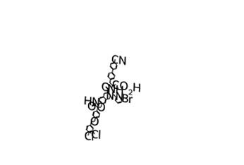 N#Cc1ccc(-c2ccc(C[C@H](NC(=O)C3Cc4cc5c(cc4CN3Cc3cccc(Br)n3)O[C@@H](c3ccc(OCc4ccc(Cl)c(Cl)c4)cc3)C(=O)N5)C(=O)O)cc2)cc1